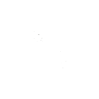 CC(C)OC(=O)CNP(=O)(OCC1CC(O)C(n2ccc(N)nc2=O)S1)Oc1ccccc1